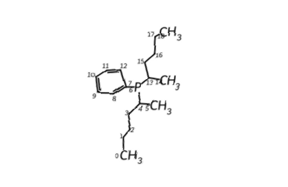 CCCCC(C)P(c1ccccc1)C(C)CCCC